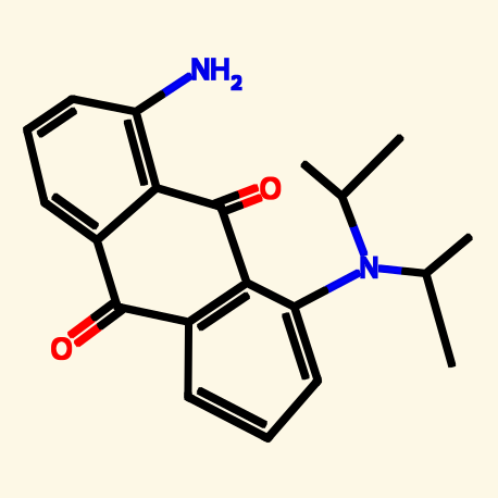 CC(C)N(c1cccc2c1C(=O)c1c(N)cccc1C2=O)C(C)C